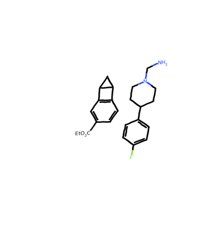 CCOC(=O)c1ccc2c(c1)C1CC21.NCN1CCC(c2ccc(F)cc2)CC1